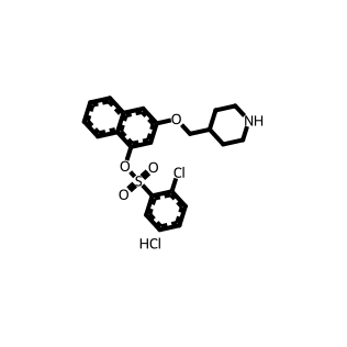 Cl.O=S(=O)(Oc1cc(OCC2CCNCC2)cc2ccccc12)c1ccccc1Cl